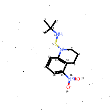 CC(C)(C)NSN1CCCc2c1cccc2[N+](=O)[O-]